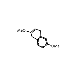 COC1=CCc2cc(OC)ccc2C1